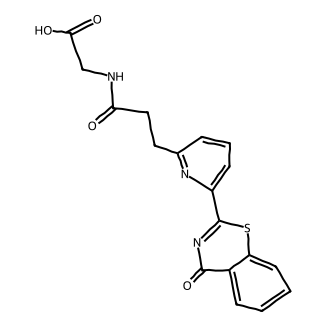 O=C(O)CNC(=O)CCc1cccc(-c2nc(=O)c3ccccc3s2)n1